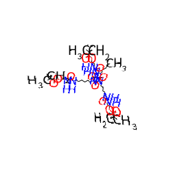 C=C(C)C(=O)OCCNC(=O)NCCCCCCn1c(=O)n(CCCCCCNC(=O)NCCOC(=O)C(=C)C)c(=O)n(C(CCCCC)NC(=O)NCCOC(=O)C(=C)C)c1=O